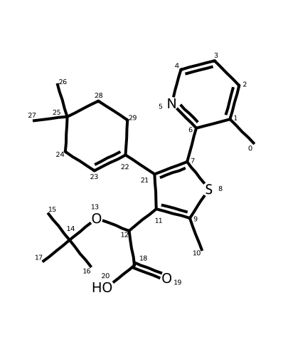 Cc1cccnc1-c1sc(C)c(C(OC(C)(C)C)C(=O)O)c1C1=CCC(C)(C)CC1